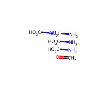 C=O.NC(=O)O.NC(=O)O.NC(=O)O.NC(=O)O